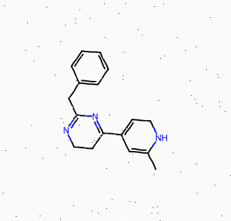 CC1=CC(C2=NC(Cc3ccccc3)=NCC2)=CCN1